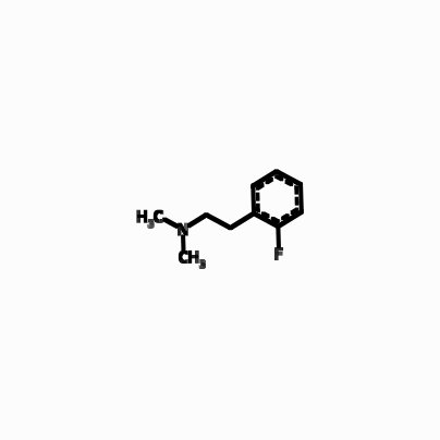 CN(C)CCc1ccccc1F